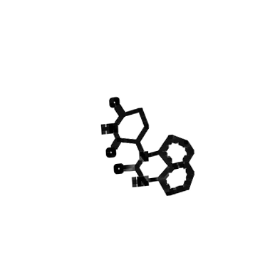 O=C1CCC(N2C(=O)Nc3cccc4cccc2c34)C(=O)N1